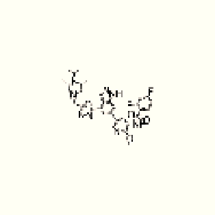 COc1ncc(-c2cc(-c3nnc(CN4C[C@@H](C)N(C(C)C)[C@@H](C)C4)o3)c3cn[nH]c3c2)cc1NS(=O)(=O)c1ccc(F)cc1F